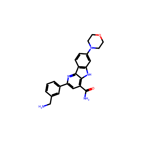 NCc1cccc(-c2cc(C(N)=O)c3[nH]c4cc(N5CCOCC5)ccc4c3n2)c1